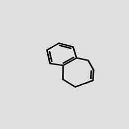 [c]1cccc2c1CC=CCC2